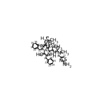 CC(C)[C@H](NC(=O)N(C)Cc1csc(N)n1)C(=O)N[C@@H](Cc1ccccc1)[C@@H](O)C[C@H](Cc1ccccc1)NC(=O)OC(C)(C)C